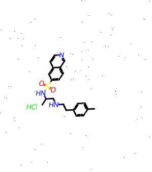 Cc1ccc(CCNCC(C)NS(=O)(=O)c2ccc3cnccc3c2)cc1.Cl